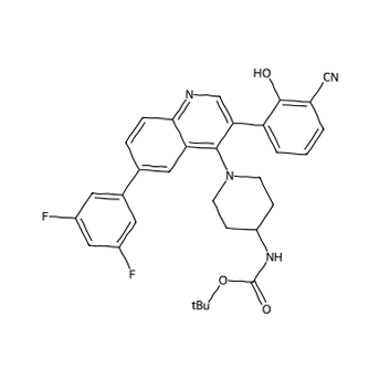 CC(C)(C)OC(=O)NC1CCN(c2c(-c3cccc(C#N)c3O)cnc3ccc(-c4cc(F)cc(F)c4)cc23)CC1